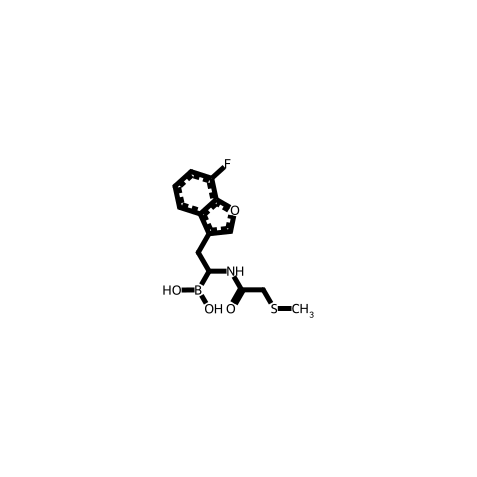 CSCC(=O)NC(Cc1coc2c(F)cccc12)B(O)O